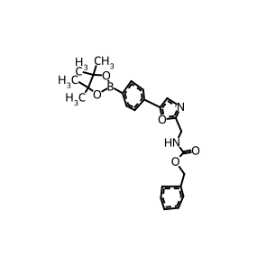 CC1(C)OB(c2ccc(-c3cnc(CNC(=O)OCc4ccccc4)o3)cc2)OC1(C)C